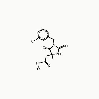 CCNC(=O)CC1(C)NC(=N)N(Cc2cccc(Cl)c2)C1=O